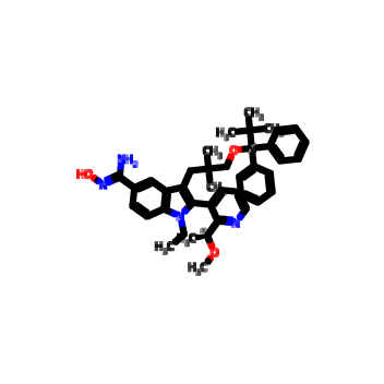 CCn1c(-c2cccnc2[C@H](C)OC)c(CC(C)(C)CO[Si](c2ccccc2)(c2ccccc2)C(C)(C)C)c2cc(C(N)=NO)ccc21